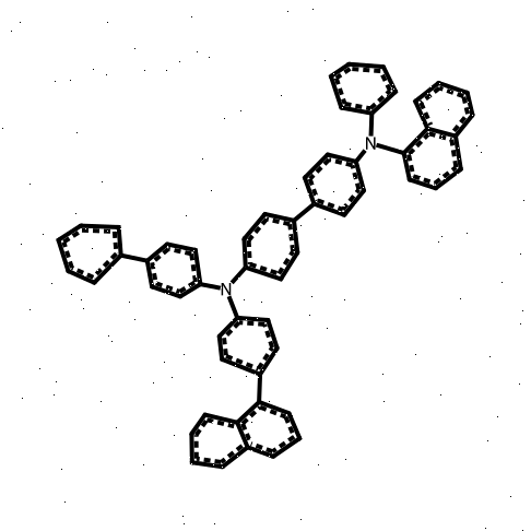 c1ccc(-c2ccc(N(c3ccc(-c4ccc(N(c5ccccc5)c5cccc6ccccc56)cc4)cc3)c3ccc(-c4cccc5ccccc45)cc3)cc2)cc1